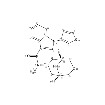 CN(C(=O)c1cn(-c2cnsc2)c2ccccc12)[C@H]1C[C@H]2COC[C@@H](C1)N2